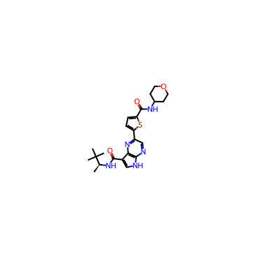 C[C@H](NC(=O)c1c[nH]c2ncc(-c3ccc(C(=O)NC4CCOCC4)s3)nc12)C(C)(C)C